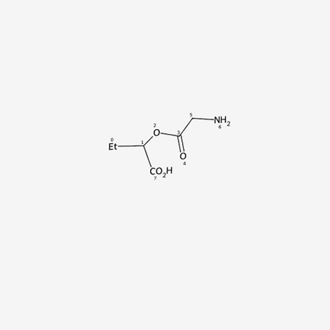 CCC(OC(=O)CN)C(=O)O